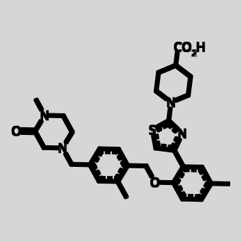 Cc1ccc(OCc2ccc(CN3CCN(C)C(=O)C3)cc2C)c(-c2csc(N3CCC(C(=O)O)CC3)n2)c1